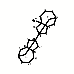 BrC12CCCC3CC1CC(C14CC5CCCC(C1)C(C5)C4)(C3)C2